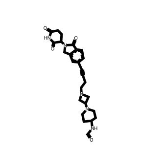 O=CNC1CCN(C2CN(CCC#Cc3ccc4c(c3)CN(C3CCC(=O)NC3=O)C4=O)C2)CC1